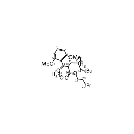 COc1cccc(OC)c1C(=O)C(CC(C)CC(C)(C)C)C(=O)OCCC(C)C.O=[PH3]